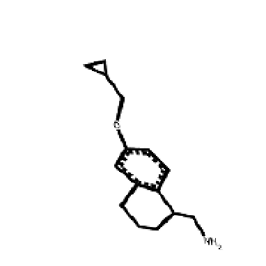 NCC1CCCc2cc(OCC3CC3)ccc21